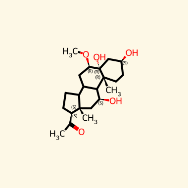 CO[C@@H]1CC2C3CC[C@H](C(C)=O)[C@@]3(C)C[C@H](O)C2[C@@]2(C)CC[C@H](O)C[C@]12O